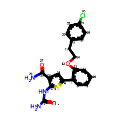 NC(=O)Nc1sc(-c2ccccc2OCCc2ccc(Cl)cc2)cc1C(N)=O